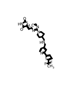 C/C=N\C(=N/C/C=C1\SC(=O)NC1=O)N1CCC(CNCc2ccnc(-c3ccc(C(C)(F)F)s3)c2)CC1